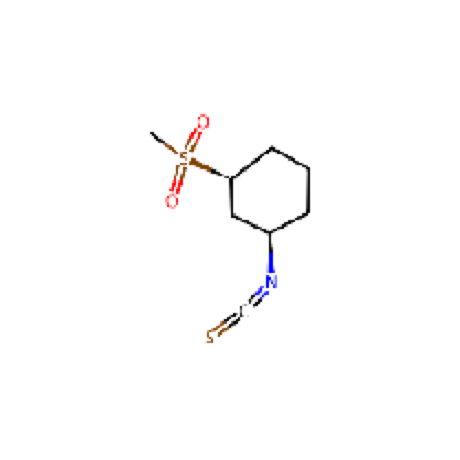 CS(=O)(=O)[C@H]1CCC[C@@H](N=C=S)C1